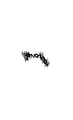 O=C(C1CCC(NCc2c[nH]c(=O)c(C(F)(F)F)c2)CC1)N1CCN(c2ncc(C(F)(F)F)cn2)CC1